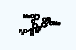 COC(=O)c1ccc(-n2cnc3c(NCCC(F)(F)F)cc(Oc4ccccc4OC)cc32)cc1C